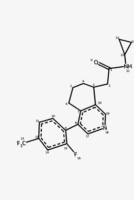 O=C(CC1CCCc2c(-c3ccc(C(F)(F)F)cc3F)cncc21)NC1CC1